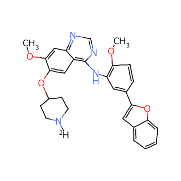 [2H]N1CCC(Oc2cc3c(Nc4cc(-c5cc6ccccc6o5)ccc4OC)ncnc3cc2OC)CC1